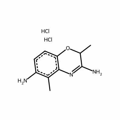 Cc1c(N)ccc2c1N=C(N)C(C)O2.Cl.Cl